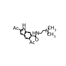 CC(=O)c1cc2cc(C(C)=O)c(C(=O)NCCN(C)C)cc2[nH]1